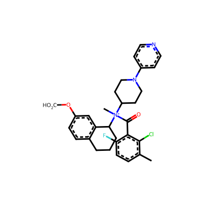 Cc1ccc(F)c(C(=O)[N+](C)(C2CCN(c3ccncc3)CC2)C2CCCc3ccc(OC(=O)O)cc32)c1Cl